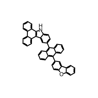 c1ccc2c(c1)oc1ccc(-c3c4ccccc4c(-c4ccc5[nH]c6c7ccccc7c7ccccc7c6c5c4)c4ccccc34)cc12